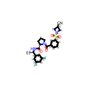 CC[C@@H](NC(=O)[C@H]1CCCN1C(=O)c1cccc(S(=O)(=O)N2CC(C#N)C2)c1)c1cc(F)cc(F)c1